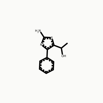 CC(O)c1sc(N)nc1-c1ccccc1